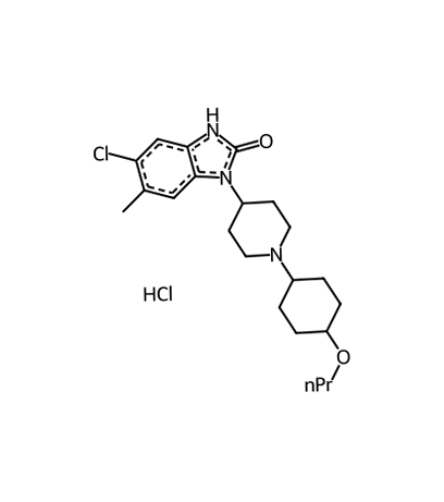 CCCOC1CCC(N2CCC(n3c(=O)[nH]c4cc(Cl)c(C)cc43)CC2)CC1.Cl